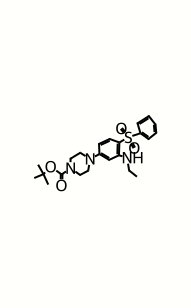 CCNc1cc(N2CCN(C(=O)OC(C)(C)C)CC2)ccc1S(=O)(=O)c1ccccc1